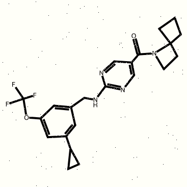 O=C(c1cnc(NCc2cc(OC(F)(F)F)cc(C3CC3)c2)nc1)N1CCC12CCC2